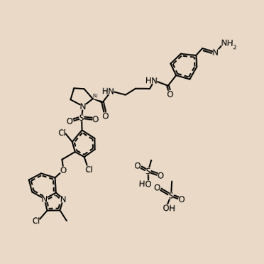 CS(=O)(=O)O.CS(=O)(=O)O.Cc1nc2c(OCc3c(Cl)ccc(S(=O)(=O)N4CCC[C@H]4C(=O)NCCCNC(=O)c4ccc(C=NN)cc4)c3Cl)cccn2c1Cl